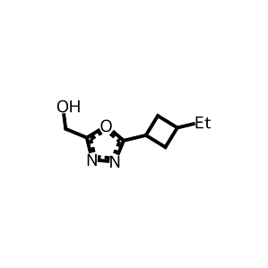 CCC1CC(c2nnc(CO)o2)C1